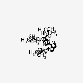 CC(C)(C)NC(=O)c1cn(COCC[Si](C)(C)C)c2ncc(-c3nccc4ccn(COCC[Si](C)(C)C)c34)nc12